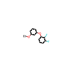 CCOc1[c]ccc(Oc2cccc(F)c2F)c1